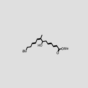 CCC(C)CCC=CC=C(C)C(O)CC=CC=CC(=O)OC